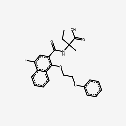 CCC(C)(NC(=O)c1cc(F)c2ccccc2c1OCCOc1ccccc1)C(=O)O